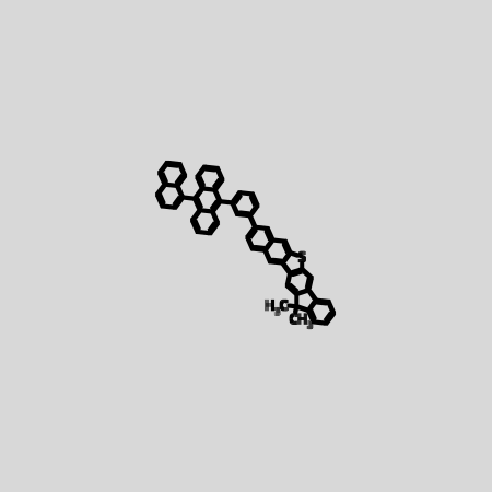 CC1(C)c2ccccc2-c2cc3sc4cc5cc(-c6cccc(-c7c8ccccc8c(-c8cccc9ccccc89)c8ccccc78)c6)ccc5cc4c3cc21